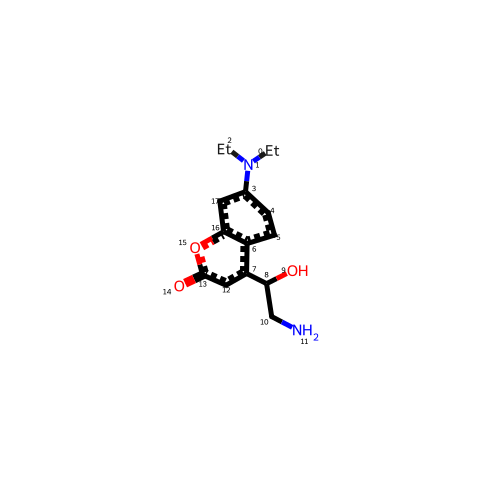 CCN(CC)c1ccc2c(C(O)CN)cc(=O)oc2c1